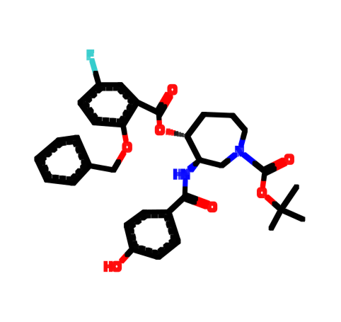 CC(C)(C)OC(=O)N1CCC[C@@H](OC(=O)c2cc(F)ccc2OCc2ccccc2)[C@H](NC(=O)c2ccc(O)cc2)C1